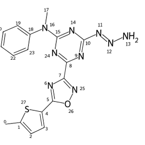 Cc1ccc(-c2nc(-c3nc(N=NN)nc(N(C)c4ccccc4)n3)no2)s1